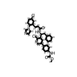 COC(=O)Nc1ccc(-c2cc(C(Cc3ccccc3)NC(=O)/C=C/c3cc(Cl)ccc3-n3ccnc3)c(Cl)nn2)cc1